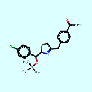 COC(=O)c1ccc(CC2=NC(C(O[Si](C)(C)C(C)(C)C)c3ccc(Cl)cc3)SC2)cc1